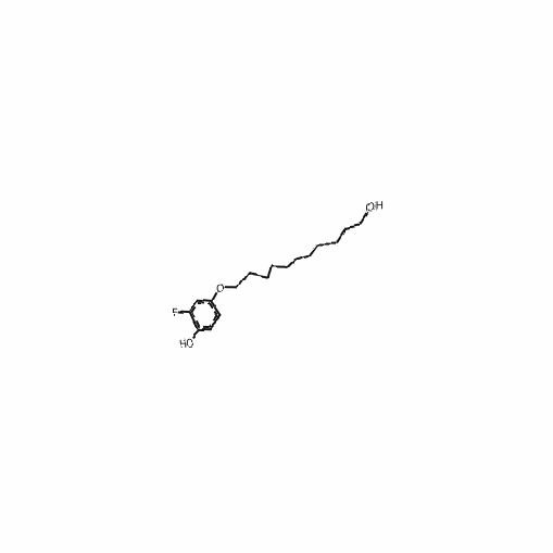 OCCCCCCCCCCCOc1ccc(O)c(F)c1